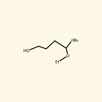 CCCCC(CCCO)OCC